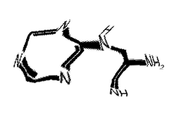 N=C(N)Nc1ncncn1